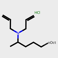 C=CCN(CC=C)C(C)CCCCCCCCCCC.Cl